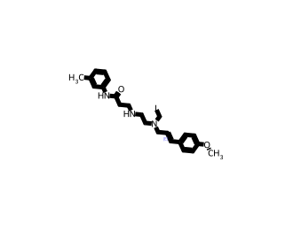 COc1ccc(/C=C/CN(CI)CCNCCC(=O)Nc2cccc(C)c2)cc1